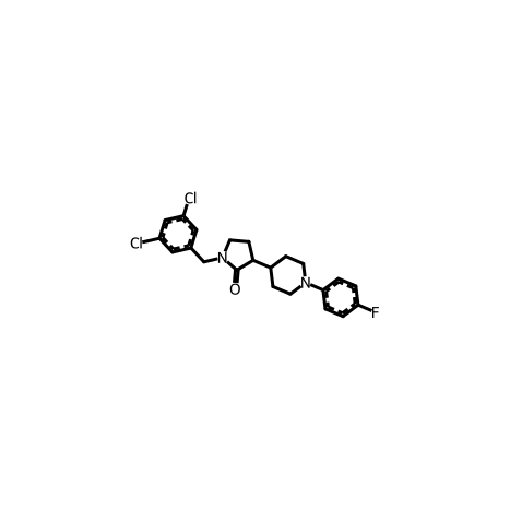 O=C1C(C2CCN(c3ccc(F)cc3)CC2)CCN1Cc1cc(Cl)cc(Cl)c1